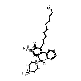 CCCCCCCCCCc1c(-c2ccccc2)c(C(=O)N2CCN(C)CC2)cn(C)c1=O